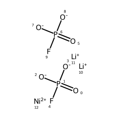 O=P([O-])([O-])F.O=P([O-])([O-])F.[Li+].[Li+].[Ni+2]